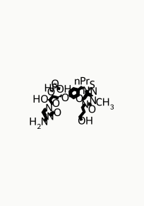 CCCSc1nc2c(c(=O)n(CCCO)c(=O)n2C)n1Cc1ccc(OC[C@H]2O[C@@H](n3ccc(N)nc3=O)[C@H](O)[C@@H]2O[PH](=O)O)cc1